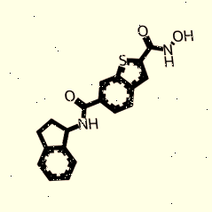 O=C(NC1CCc2ccccc21)c1ccc2cc(C(=O)NO)sc2c1